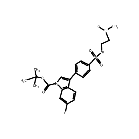 C[S+]([O-])CCNS(=O)(=O)c1ccc(-c2cn(C(=O)OC(C)(C)C)c3cc(F)ccc23)cc1